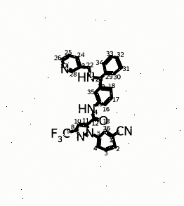 N#Cc1cccc(-n2nc(C(F)(F)F)cc2C(=O)Nc2cccc(C(NCc3cccnc3)c3ccccc3)c2)c1